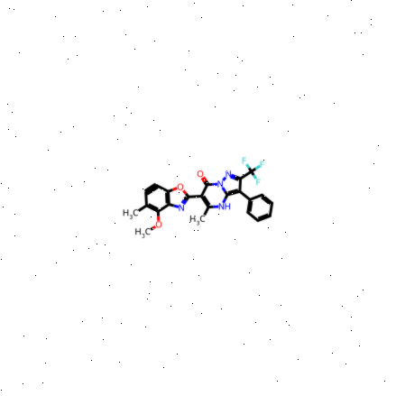 COc1c(C)c#cc2oc(-c3c(C)[nH]c4c(-c5ccccc5)c(C(F)(F)F)nn4c3=O)nc12